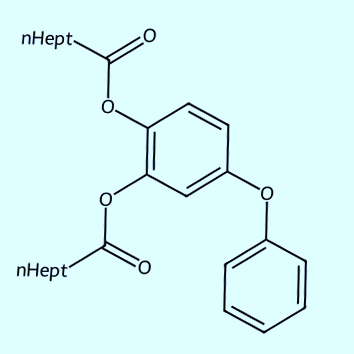 CCCCCCCC(=O)Oc1ccc(Oc2ccccc2)cc1OC(=O)CCCCCCC